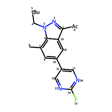 CC(=O)c1nn(CC(C)(C)C)c2c(C)cc(-c3cnc(F)nc3)cc12